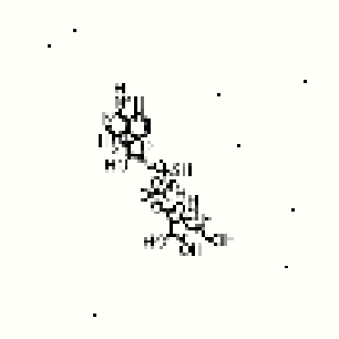 C[C@@]1(N)[C@H](O)[C@@H](COP(=O)(S)OP(=O)(O)OC2OC3(O)C2C(O)C(O)C3[C@@H](F)CO)OC12C=CNc1c(N)ncnc12